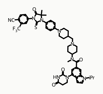 CC(C)n1ccc2c(N3CCC(=O)NC3=O)cc(C(=O)N(C)C3CCN(CC4CCN(c5ccc(N6C(=S)N(c7ccc(C#N)c(C(F)(F)F)c7)C(=O)C6(C)C)cc5)CC4)CC3)cc21